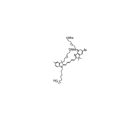 COCCOCC[n+]1cc(Br)cc2c1N=C(/C=C/C=C/C=C1/N(CCCCCC(=O)O)c3ccc(C)cc3C1(C)CCOCCOC)C2(C)C